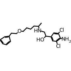 CC(CCCCOCCc1ccccc1)NCC(O)c1cc(Cl)c(N)c(Cl)c1